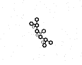 C1=CCC(N2c3cc(-c4ccc(-c5ccccc5)c5c4oc4ccccc45)ccc3Oc3ccc(-c4ccc(-c5ccccc5)c5c4oc4ccccc45)cc32)C=C1